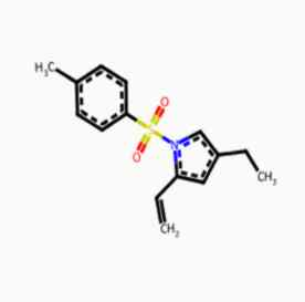 C=Cc1cc(CC)cn1S(=O)(=O)c1ccc(C)cc1